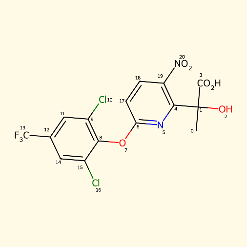 CC(O)(C(=O)O)c1nc(Oc2c(Cl)cc(C(F)(F)F)cc2Cl)ccc1[N+](=O)[O-]